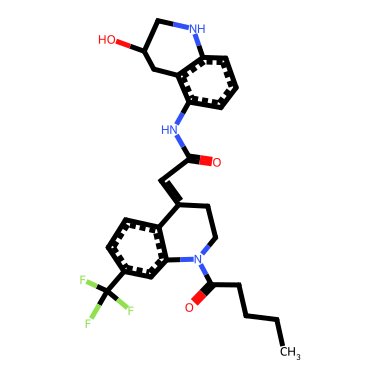 CCCCC(=O)N1CCC(=CC(=O)Nc2cccc3c2CC(O)CN3)c2ccc(C(F)(F)F)cc21